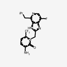 CC(C)Cc1ncc(F)c2nc(Cn3c(C(F)(F)F)ccc(N)c3=O)[nH]c12